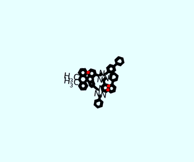 CC1(C)c2ccccc2C2(c3ccc(-c4nc(C5=CCCC=C5)nc(-c5cccc(C6=CCCC=C6)c5)n4)cc3-c3c(-c4nc(-c5ccccc5)nc(-c5ccc(C6=CCCC=C6)cc5)n4)cccc32)c2ccccc21